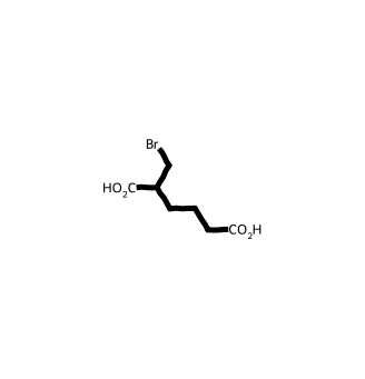 O=C(O)CCCC(CBr)C(=O)O